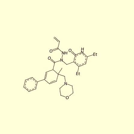 C=CC(=O)NN(Cc1c(CC)cc(CC)[nH]c1=O)C(=O)C1C=C(c2ccccc2)C=CC1(C)CN1CCOCC1